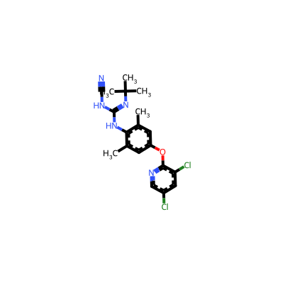 Cc1cc(Oc2ncc(Cl)cc2Cl)cc(C)c1NC(=NC(C)(C)C)NC#N